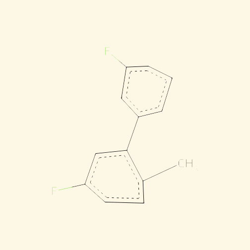 Cc1ccc(F)cc1-c1cccc(F)c1